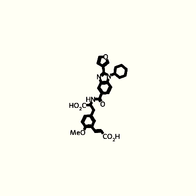 COc1ccc(CC(NC(=O)c2ccc3c(c2)nc(-c2ccoc2)n3C2CCCCC2)C(=O)O)cc1C=CC(=O)O